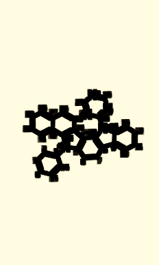 c1ccc(-n2c3ccc4c5ccccc5n(-c5ncncn5)c4c3c3ccc4ccccc4c32)cc1